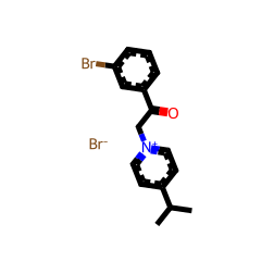 CC(C)c1cc[n+](CC(=O)c2cccc(Br)c2)cc1.[Br-]